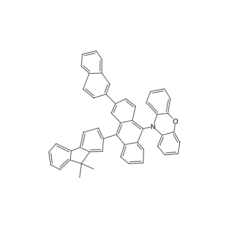 CC1(C)c2ccccc2-c2ccc(-c3c4ccccc4c(N4c5ccccc5Oc5ccccc54)c4ccc(-c5ccc6ccccc6c5)cc34)cc21